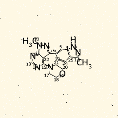 Cc1n[nH]c2cc(-c3nn(C)c4ncnc(N5CCOCC5)c34)ccc12